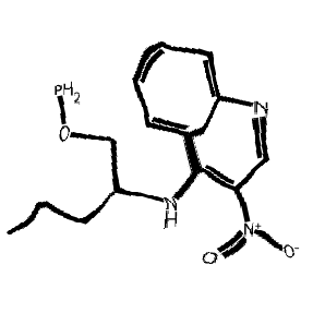 CCC[C@@H](COP)Nc1c([N+](=O)[O-])cnc2ccccc12